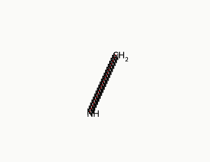 C=NN=NN=NN=NN=NN=NN=NN=NN=NN=NN=NN=NN=NN=NN=NN=NN=NN=NN=NN=N